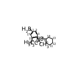 Bc1ccc(C(C)(C)BC2CCCCC2)c(C)c1